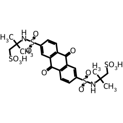 CC(C)(CS(=O)(=O)O)NS(=O)(=O)c1ccc2c(c1)C(=O)c1ccc(S(=O)(=O)NC(C)(C)CS(=O)(=O)O)cc1C2=O